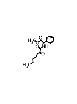 CCCCCC(=O)C(=O)N[C@H](C(=O)OC)c1ccccc1